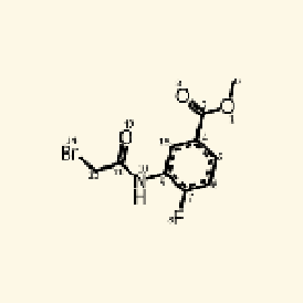 COC(=O)c1ccc(F)c(NC(=O)CBr)c1